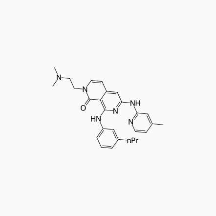 CCCc1cccc(Nc2nc(Nc3cc(C)ccn3)cc3ccn(CCN(C)C)c(=O)c23)c1